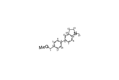 COCc1ccc(-c2ccc3c(c2)CCN3C)cc1